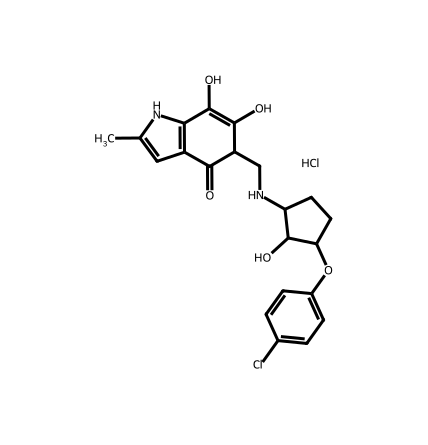 Cc1cc2c([nH]1)C(O)=C(O)C(CNC1CCC(Oc3ccc(Cl)cc3)C1O)C2=O.Cl